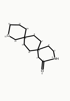 O=C1CC2(CCN1)CCC1(CCCOC1)CC2